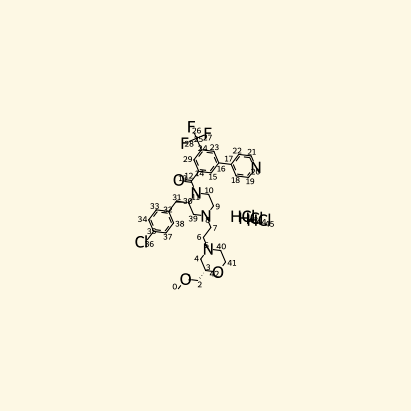 COC[C@@H]1CN(CCN2CCN(C(=O)c3cc(-c4ccncc4)cc(C(F)(F)F)c3)[C@H](Cc3ccc(Cl)cc3)C2)CCO1.Cl.Cl.Cl